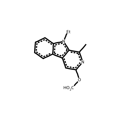 CCn1c2ccccc2c2cc(OC(=O)O)nc(C)c21